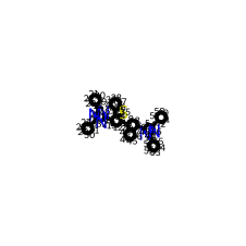 c1ccc(-c2cc(-c3ccc(-c4ccc(-c5nc(-c6ccccc6)nc(-c6ccccc6)n5)c5c4sc4ccccc45)c4ccccc34)nc(-c3ccccc3)n2)cc1